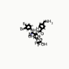 NCc1ccc(C(=O)Nc2nonc2/C(=N\O)Nc2ccc(F)c(Br)c2)cc1.O=C(O)C(F)(F)F